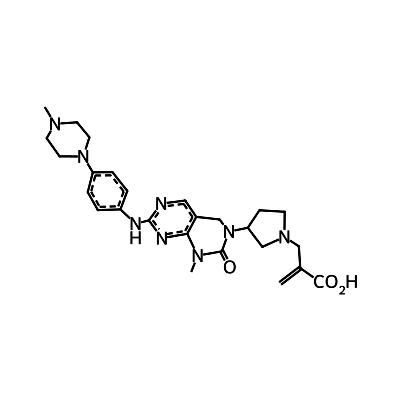 C=C(CN1CCC(N2Cc3cnc(Nc4ccc(N5CCN(C)CC5)cc4)nc3N(C)C2=O)C1)C(=O)O